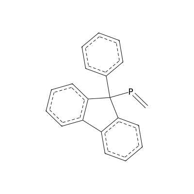 C=PC1(c2ccccc2)c2ccccc2-c2ccccc21